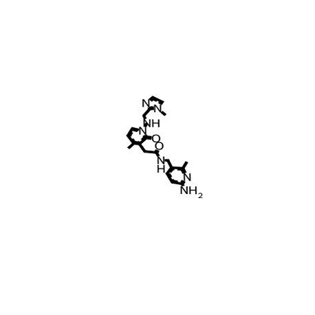 Cc1ccn(NCc2nccn2C)c(=O)c1CC(=O)NCc1ccc(N)nc1C